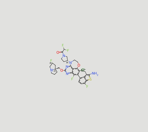 N#Cc1c(N)sc2c(F)ccc(-c3c(Cl)c4c5c(nc(OC[C@@]67CCCN6C[C@H](F)C7)nc5c3F)N([C@@H]3CCN(C(=O)C(F)F)C3)CCO4)c12